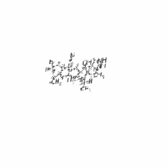 COc1nc2ccc(C(O)(C3=CNNN3C)c3cnc(C)n3C)cc2c(C#N)c1CC(F)(F)F